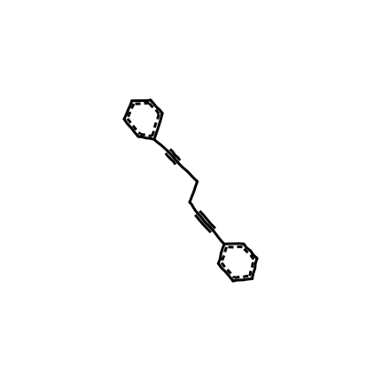 C(#Cc1ccccc1)CCC#Cc1ccccc1